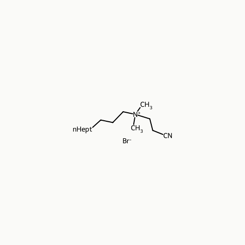 CCCCCCCCCC[N+](C)(C)CCC#N.[Br-]